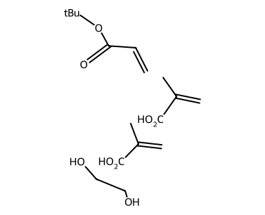 C=C(C)C(=O)O.C=C(C)C(=O)O.C=CC(=O)OC(C)(C)C.OCCO